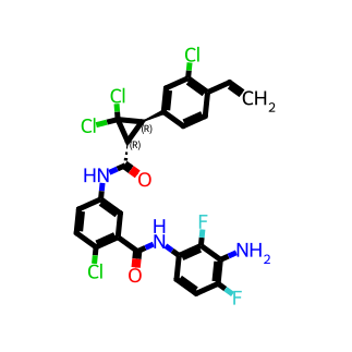 C=Cc1ccc([C@H]2[C@H](C(=O)Nc3ccc(Cl)c(C(=O)Nc4ccc(F)c(N)c4F)c3)C2(Cl)Cl)cc1Cl